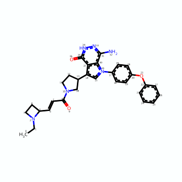 CCN1CCC1/C=C/C(=O)N1CCC(c2cn(-c3ccc(Oc4ccccc4)cc3)c3c(N)n[nH]c(=O)c23)C1